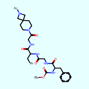 CC(=O)N1CC2(CCN(C(=O)CNC(=O)C(CC(C)C)NC(=O)CNC(=O)C(Cc3ccccc3)NC(=O)OC(C)(C)C)CC2)C1